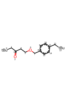 CC(C)(C)CC(=O)CCOCc1ccc(CC(C)(C)C)cc1